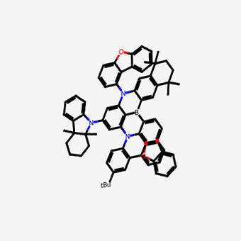 CC(C)(C)c1ccc(N2c3cc(N4c5ccccc5C5(C)CCCCC45C)cc4c3B(c3cc5c(cc3N4c3cccc4oc6ccccc6c34)C(C)(C)CCC5(C)C)c3ccc4c(oc5ccccc54)c32)c(-c2ccccc2)c1